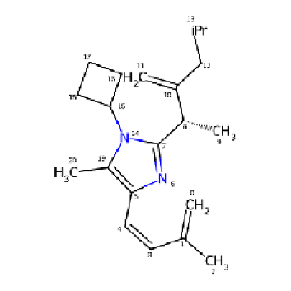 C=C(C)/C=C\c1nc([C@@H](C)C(=C)CC(C)C)n(C2CCC2)c1C